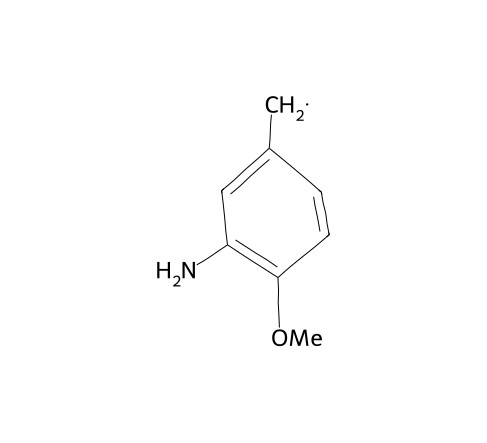 [CH2]c1ccc(OC)c(N)c1